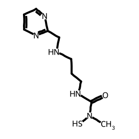 CN(S)C(=O)NCCCNCc1ncccn1